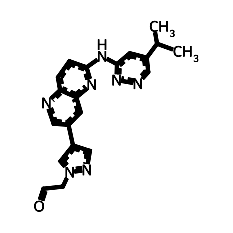 CC(C)c1cnnc(Nc2ccc3ncc(-c4cnn(CC=O)c4)cc3n2)c1